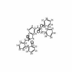 O=P1(Cc2cccc(CP3(=O)Cc4ccccc4-c4ccccc4O3)c2)Cc2ccccc2-c2ccccc2O1